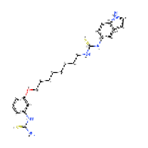 NC(=S)Nc1cccc(OCCCCCCCCNC(=S)Nc2ccc3[nH]ccc3c2)c1